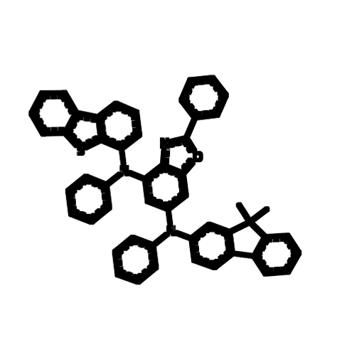 CC1(C)c2ccccc2-c2ccc(N(c3ccccc3)c3cc(N(c4ccccc4)c4cccc5c4sc4ccccc45)c4nc(-c5ccccc5)oc4c3)cc21